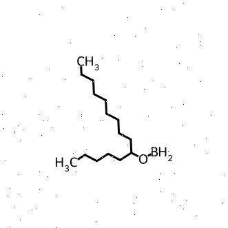 BOC(CCCCC)CCCCCCCCC